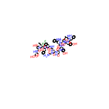 CCCC[C@@H](C(=O)N1C[C@H](O)C[C@@H]1C(=O)N[C@H](C=O)CC(=O)O)N(C)C(=O)[C@H](Cc1ccccc1)N(C)C(=O)[C@H](Cc1cc(F)c(F)c(F)c1)NC(=O)CSC[C@H](NC(=O)[C@H](CCOC)NC(=O)[C@H](Cc1ccc(O)cc1)NC(=O)[C@H](Cc1c[nH]c2ccccc12)NC(=O)[C@H]1CCCN1C(=O)[C@H](Cc1ccc(O)cc1)NC(=O)C(Cc1ccccc1)N(C)C(=O)[C@@H](N)C(C)C)C(=O)NCC(N)=O